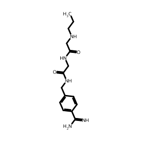 CCCNCC(=O)NCC(=O)NCc1ccc(C(=N)N)cc1